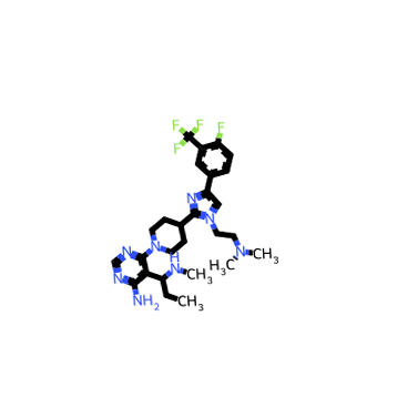 CCC(NC)c1c(N)ncnc1N1CCC(c2nc(-c3ccc(F)c(C(F)(F)F)c3)cn2CCN(C)C)CC1